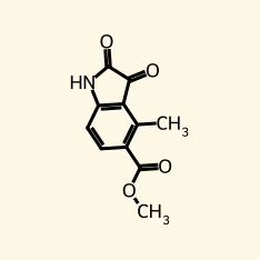 COC(=O)c1ccc2c(c1C)C(=O)C(=O)N2